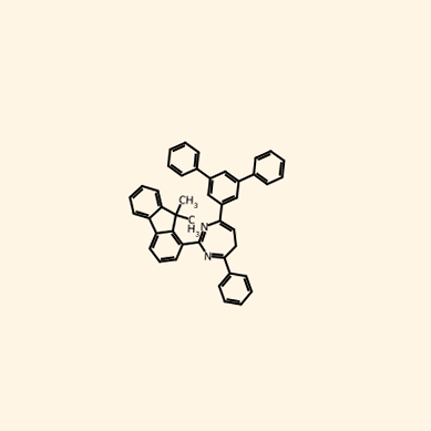 CC1(C)c2ccccc2-c2cccc(C3=NC(c4cc(-c5ccccc5)cc(-c5ccccc5)c4)=CCC(c4ccccc4)=N3)c21